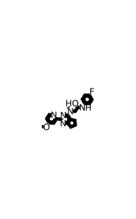 COc1ccnc(-c2nc3c(c(N(C)CC(O)Nc4ccc(F)cc4)n2)CCC3)c1